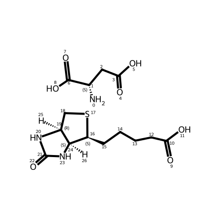 N[C@@H](CC(=O)O)C(=O)O.O=C(O)CCCC[C@@H]1SC[C@@H]2NC(=O)N[C@@H]21